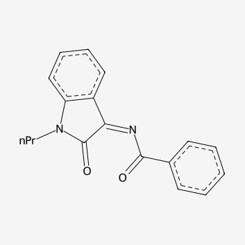 CCCN1C(=O)C(=NC(=O)c2ccccc2)c2ccccc21